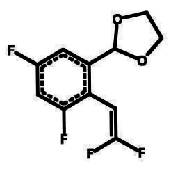 FC(F)=Cc1c(F)cc(F)cc1C1OCCO1